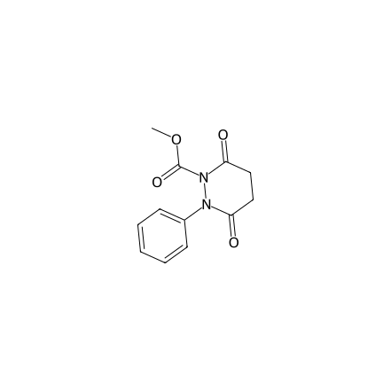 COC(=O)N1C(=O)CCC(=O)N1c1ccccc1